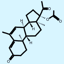 CC(=O)O[C@@]1(C(C)=O)CC[C@H]2[C@@H]3C=C(C)C4=CC(=O)CC[C@]4(C)[C@H]3CC[C@@]21C